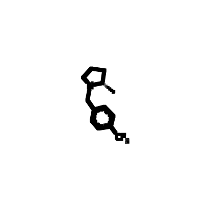 C[C@H]1CCCN1Cc1ccc(C(F)(F)F)cc1